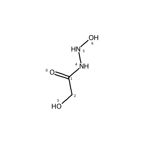 O=C(CO)NNO